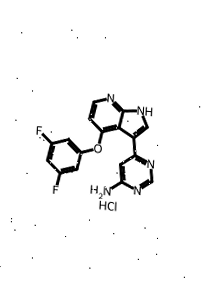 Cl.Nc1cc(-c2c[nH]c3nccc(Oc4cc(F)cc(F)c4)c23)ncn1